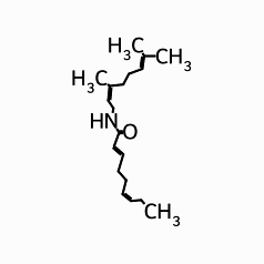 CC/C=C\CC/C=C/C(=O)NC/C=C(/C)CCC=C(C)C